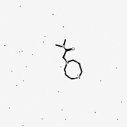 CN(C)C(=O)CN1CCC[N]CCC1